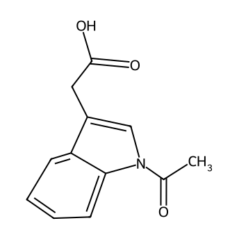 CC(=O)n1cc(CC(=O)O)c2ccccc21